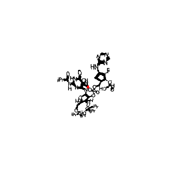 CC(C)C(=O)Nc1nc2c(ncn2[C@@H]2O[C@@H]3CO[Si](C(C)C)(C(C)C)O[Si](C(C)C)(C(C)C)O[C@H]3[C@@H]2OP(=O)(OCCC#N)OC[C@H]2C[C@@H](Nc3ncncn3)[C@H](F)[C@@H]2O[PH](=O)O)c(=O)[nH]1